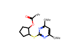 CCCC(=O)OC1CCCC1Sc1nc(OC)cc(OC)n1